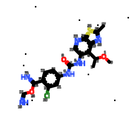 COC(C)c1c(NC(=O)Nc2ccc(C(=N)OC=N)c(Cl)c2)cnc2sc(C)nc12